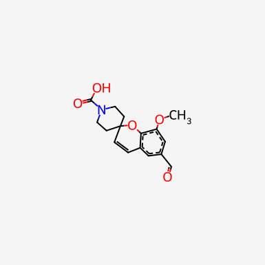 COc1cc(C=O)cc2c1OC1(C=C2)CCN(C(=O)O)CC1